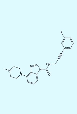 CN1CCN(c2cccc3c2ncn3C(=O)NCC#Cc2cccc(F)c2)CC1